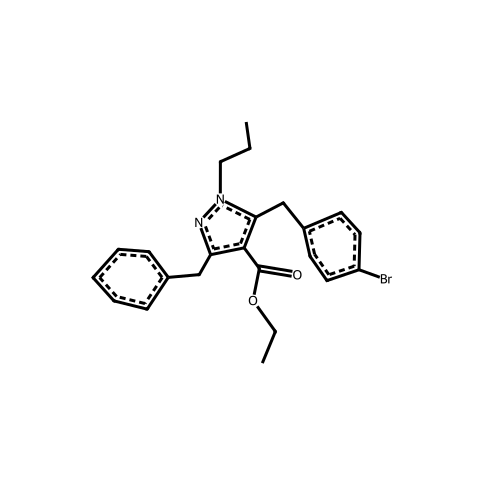 CCCn1nc(Cc2ccccc2)c(C(=O)OCC)c1Cc1ccc(Br)cc1